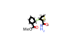 COC(=O)c1ccccc1.NC(=O)c1sccc1F